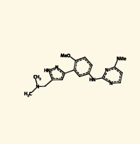 CNc1ccnc(Nc2ccc(OC)c(-c3cc(CN(C)C)[nH]n3)c2)n1